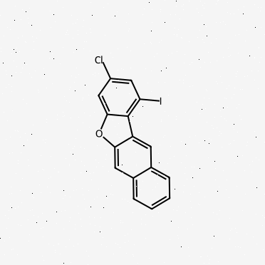 Clc1cc(I)c2c(c1)oc1cc3ccccc3cc12